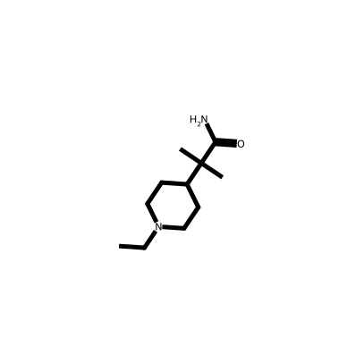 CCN1CCC(C(C)(C)C(N)=O)CC1